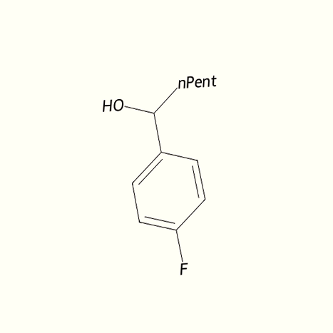 CCCCCC(O)c1ccc(F)cc1